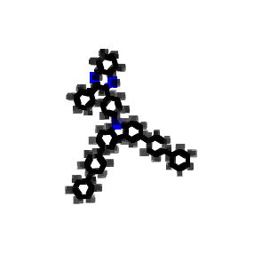 c1ccc(-c2ccc(-c3ccc4c(c3)c3cc(-c5ccc(-c6ccccc6)cc5)ccc3n4-c3ccc(-c4nc5ccccc5nc4-c4ccccc4)cc3)cc2)cc1